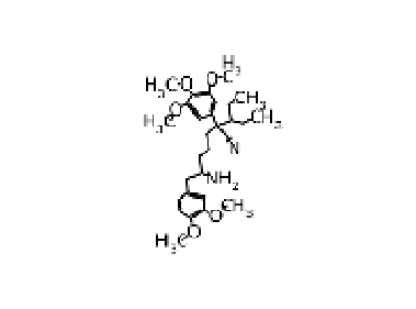 CCC(CC)C(C#N)(CCCC(N)Cc1ccc(OC)c(OC)c1)c1cc(OC)c(OC)c(OC)c1